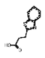 O=C(O)CCc1nc2ccccc2s1